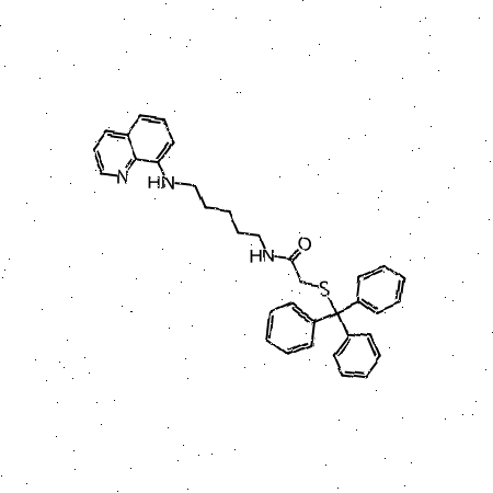 O=C(CSC(c1ccccc1)(c1ccccc1)c1ccccc1)NCCCCCNc1cccc2cccnc12